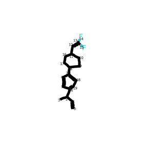 C=CC(C)c1ccc(C2CCC(C=C(F)F)CC2)cc1